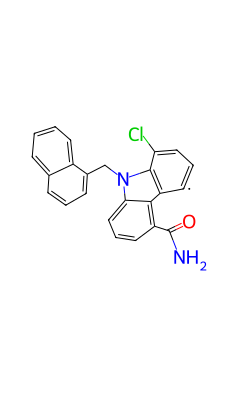 NC(=O)c1cccc2c1c1[c]ccc(Cl)c1n2Cc1cccc2ccccc12